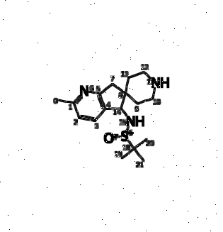 Cc1ccc2c(n1)CC1(CCNCC1)C2N[S+]([O-])C(C)(C)C